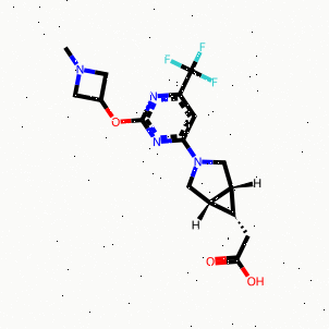 CN1CC(Oc2nc(N3C[C@@H]4[C@H](CC(=O)O)[C@@H]4C3)cc(C(F)(F)F)n2)C1